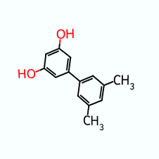 Cc1cc(C)cc(-c2cc(O)cc(O)c2)c1